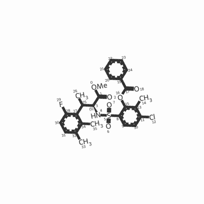 COC(=O)[C@@H](NS(=O)(=O)c1ccc(Cl)c(C)c1OC(=O)c1ccccc1)C(C)c1c(F)ccc(C)c1C